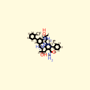 CC(C)(O)CCc1cc(-c2ccccc2C(F)(F)F)c(C(N)=O)c(CC(C)(O)CCc2cc(-c3ccccc3C(F)(F)F)cc(N)c2N)c1N